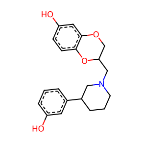 Oc1cccc(C2CCCN(CC3COc4cc(O)ccc4O3)C2)c1